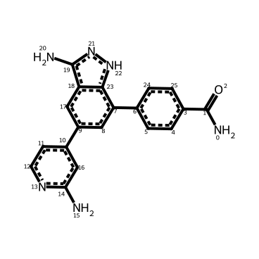 NC(=O)c1ccc(-c2cc(-c3ccnc(N)c3)cc3c(N)n[nH]c23)cc1